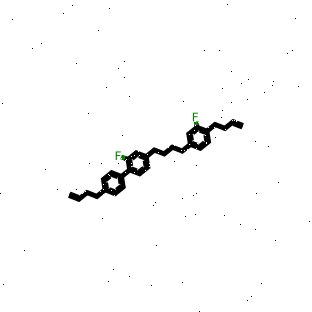 C=CCCc1ccc(-c2ccc(CCCCc3ccc(CCC=C)c(F)c3)cc2F)cc1